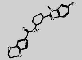 CC(C)c1ccc2nc(C3CCCC(NC(=O)c4ccc5c(c4)OCCO5)C3)n(C)c2c1